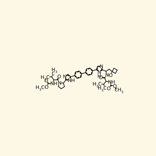 COC(=O)NC(C(=O)N1CCCC1c1ncc(-c2ccc(-c3ccc(-c4cnc(C5CC6(CCC6)ON5C(=O)C(NC(=O)OC)C(C)C)[nH]4)cc3)cc2)[nH]1)C(C)C